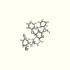 Cc1nc2c(c(=O)n1C(c1ccccc1)c1ccccc1)CN(Cc1cc(F)ccc1Br)CC2